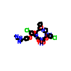 CC1C(=O)NC(CO)C(=O)NC2(Cc3ccc(Cl)cc3)CCCN(C2)C(=O)C(Cc2ccccc2)CC(=O)N1Cc1ccc(Cl)cc1Oc1ccc(-c2cnc(CN(C)C)n2C)cc1